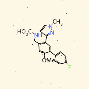 COc1cc(CNC(=O)O)c(-c2ccn(C)n2)cc1-c1ccc(F)cc1